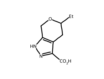 CCC1Cc2c(C(=O)O)n[nH]c2CO1